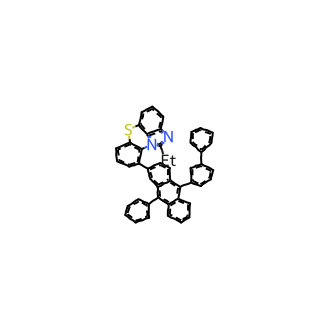 CCc1nc2cccc3c2n1-c1c(cccc1-c1ccc2c(-c4cccc(-c5ccccc5)c4)c4ccccc4c(-c4ccccc4)c2c1)S3